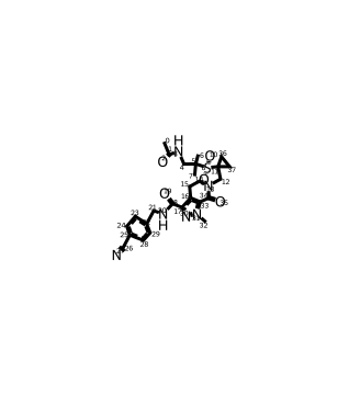 CC(=O)NCC(C)(C)S(=O)(=O)C1(CN2CCc3c(C(=O)NCc4ccc(C#N)cc4)nn(C)c3C2=O)CC1